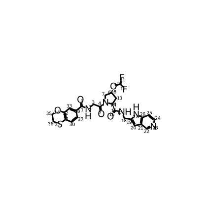 O=C(NCC(=O)N1C[C@H](OC(F)F)C[C@H]1C(=O)NCc1cc2cnccc2[nH]1)c1ccc2c(c1)OCCS2